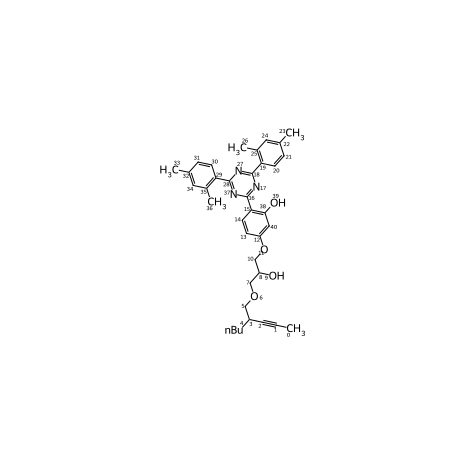 CC#CC(CCCC)COCC(O)COc1ccc(-c2nc(-c3ccc(C)cc3C)nc(-c3ccc(C)cc3C)n2)c(O)c1